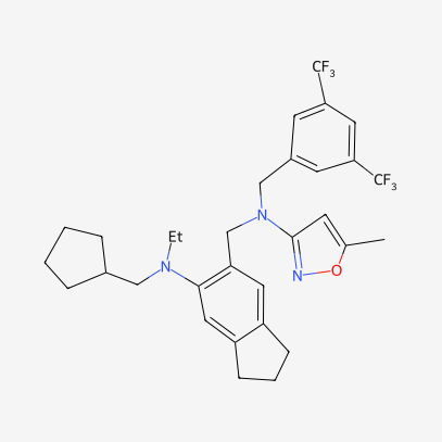 CCN(CC1CCCC1)c1cc2c(cc1CN(Cc1cc(C(F)(F)F)cc(C(F)(F)F)c1)c1cc(C)on1)CCC2